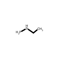 CC[SiH]P